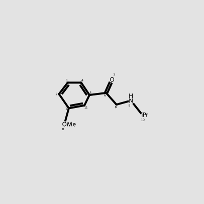 COc1cccc(C(=O)CNC(C)C)c1